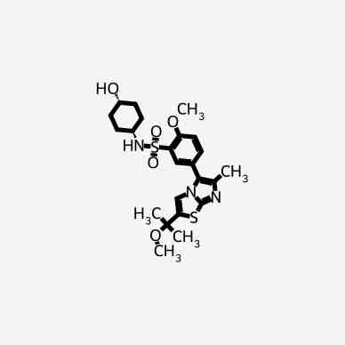 COc1ccc(-c2c(C)nc3sc(C(C)(C)OC)cn23)cc1S(=O)(=O)N[C@H]1CC[C@@H](O)CC1